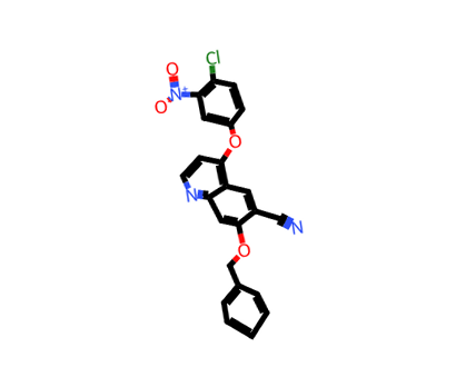 N#Cc1cc2c(Oc3ccc(Cl)c([N+](=O)[O-])c3)ccnc2cc1OCc1ccccc1